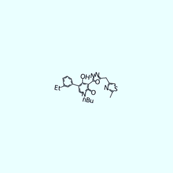 CCCCn1cc(-c2cccc(CC)c2)c(O)c(-c2nnc(Cc3csc(C)n3)o2)c1=O